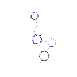 Cn1cc(CNc2ncnc(N3CCCC3c3ccc(C(F)(F)F)cc3)c2F)cn1